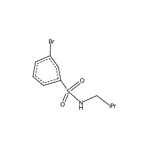 CC(C)CNS(=O)(=O)c1cccc(Br)c1